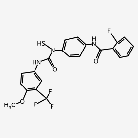 COc1ccc(NC(=O)N(S)c2ccc(NC(=O)c3ccccc3F)cc2)cc1C(F)(F)F